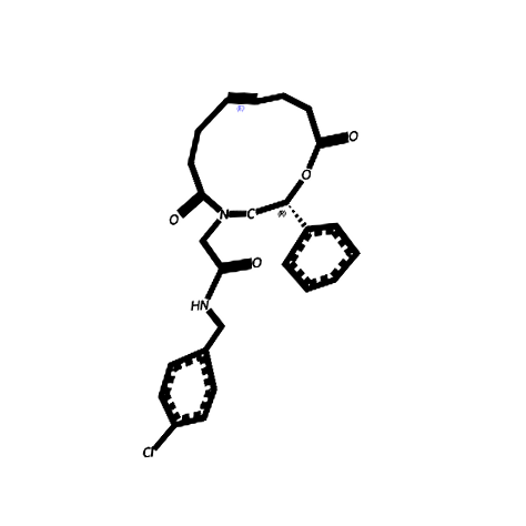 O=C(CN1C[C@@H](c2ccccc2)OC(=O)CC/C=C/CCC1=O)NCc1ccc(Cl)cc1